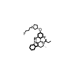 C=C(CC)N1[C@H](c2c(F)cc(O[C@H]3CCN(CCCF)C3)cc2F)c2[nH]c3ccccc3c2C[C@H]1C